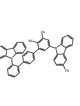 N#Cc1ccc2c(c1)c1ccccc1n2-c1cc(C#N)c(C#N)c(-c2ccc(-c3ccccc3-n3c4ccccc4c4ccccc43)cc2)c1